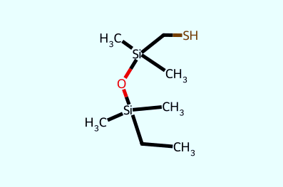 CC[Si](C)(C)O[Si](C)(C)CS